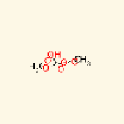 COCCOC(=O)C(=CC(=O)O)CCOC